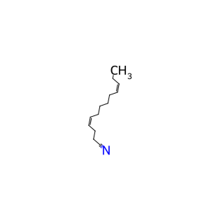 CC/C=C\CCCC/C=C\CCC#N